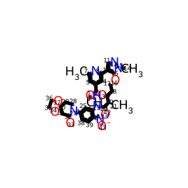 COC(=O)c1cc(C)nc(-c2cnn(C)c2OCCC[C@@H](C)CNc2cc(N3CCC4(CC3=O)OCCO4)ccc2[N+](=O)[O-])c1